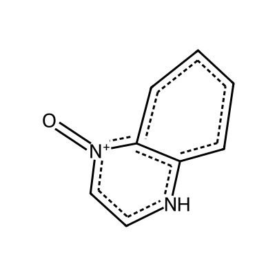 O=[n+]1cc[nH]c2ccccc21